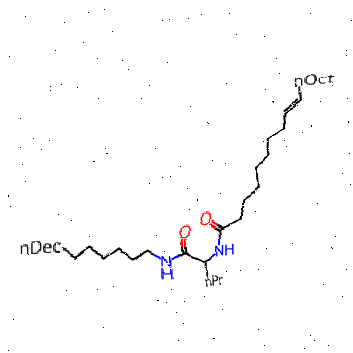 CCCCCCCC/C=C/CCCCCCCC(=O)NC(CCC)C(=O)NCCCCCCCCCCCCCCCC